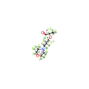 O=C(F)C(F)(OC(F)(F)C(F)(F)C(F)(F)N1C(F)(F)C(F)(F)OC(F)(F)C1(F)F)C(F)(F)F